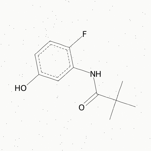 CC(C)(C)C(=O)Nc1cc(O)ccc1F